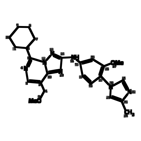 COCc1cnc(C2CCCCC2)n2nc(Nc3ccc(-n4cnc(C)c4)c(OC)c3)nc12